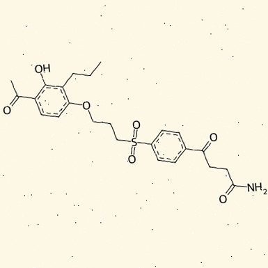 CCCc1c(OCCCS(=O)(=O)c2ccc(C(=O)CCC(N)=O)cc2)ccc(C(C)=O)c1O